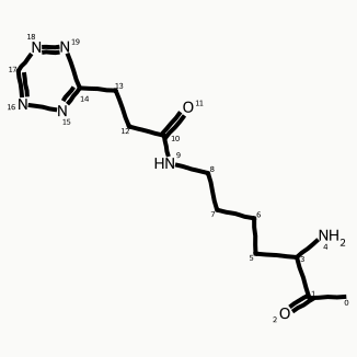 CC(=O)C(N)CCCCNC(=O)CCc1nncnn1